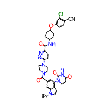 CC(C)n1ccc2c(N3CCC(=O)NC3=O)cc(C(=O)N3CCN(c4ccc(C(=O)N[C@H]5CC[C@H](Oc6ccc(C#N)c(Cl)c6)CC5)nn4)CC3)cc21